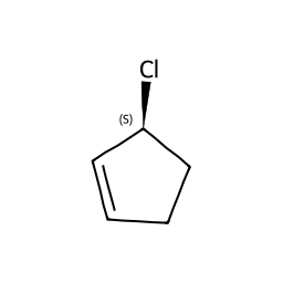 Cl[C@@H]1C=CCC1